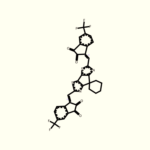 O=C1C(=O)c2cc(C(F)(F)F)ccc2/C1=C/c1nc2c(s1)-c1sc(/C=C3\C(=O)C(=O)c4cc(C(F)(F)F)ccc43)nc1C21CCCCC1